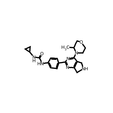 CC1COCCN1c1nc(-c2ccc(NC(=O)NC3CC3)cc2)nc2c1CNC2